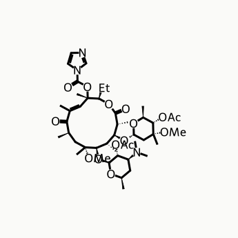 CC[C@H]1OC(=O)[C@H](C)[C@@H](O[C@H]2C[C@@](C)(OC)[C@@H](OC(C)=O)[C@H](C)O2)[C@H](C)[C@@H](O[C@@H]2O[C@H](C)C[C@H](N(C)C)[C@H]2OC(C)=O)[C@](C)(OC)C[C@@H](C)C(=O)/C(C)=C/[C@]1(C)OC(=O)n1ccnc1